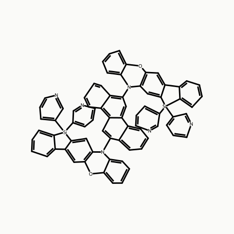 c1cncc([Si]2(c3cccnc3)c3ccccc3-c3cc4c(cc32)N(c2cc3c5ccccc5c(N5c6ccccc6Oc6cc7c(cc65)[Si](c5cccnc5)(c5cccnc5)c5ccccc5-7)cc3c3ccccc23)c2ccccc2O4)c1